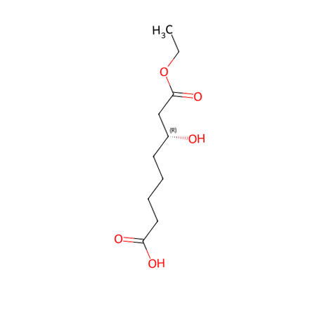 CCOC(=O)C[C@H](O)CCCCC(=O)O